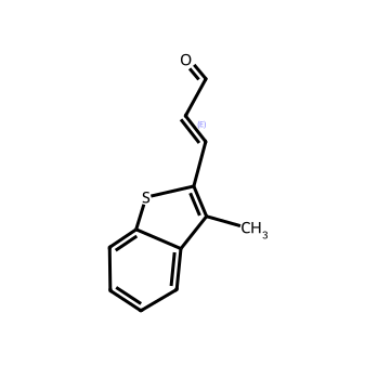 Cc1c(/C=C/C=O)sc2ccccc12